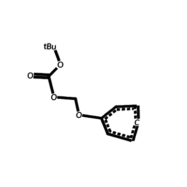 CC(C)(C)OC(=O)OCOc1ccccc1